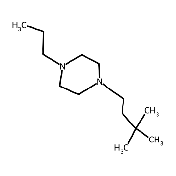 CCCN1CCN(CCC(C)(C)C)CC1